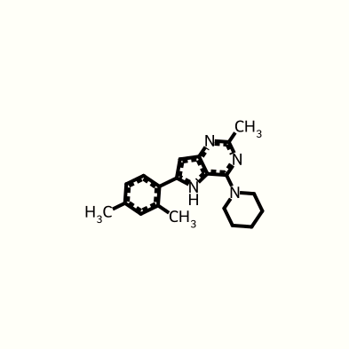 Cc1ccc(-c2cc3nc(C)nc(N4CCCCC4)c3[nH]2)c(C)c1